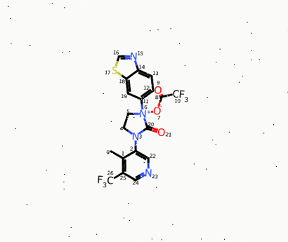 Cc1c(N2CC[N+](OC(=O)C(F)(F)F)(c3ccc4ncsc4c3)C2=O)cncc1C(F)(F)F